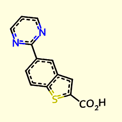 O=C(O)c1cc2cc(-c3ncccn3)ccc2s1